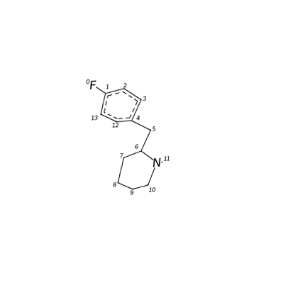 Fc1ccc(CC2CCCC[N]2)cc1